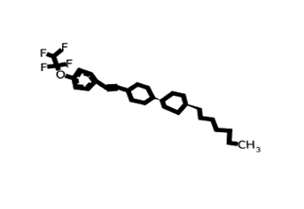 CCCCCCC[C@H]1CC[C@H](C2CCC(C#Cc3ccc(OC(F)(F)C(F)F)cc3)CC2)CC1